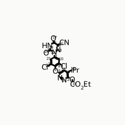 CCOC(=O)Oc1nnc(Oc2c(Cl)cc(-n3nc(C#N)c(=O)[nH]c3=O)cc2Cl)cc1C(C)C